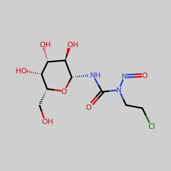 O=NN(CCCl)C(=O)N[C@@H]1O[C@H](CO)[C@H](O)[C@H](O)[C@H]1O